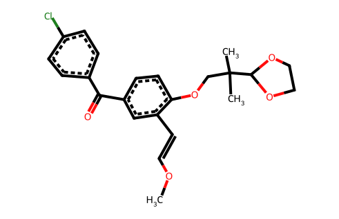 COC=Cc1cc(C(=O)c2ccc(Cl)cc2)ccc1OCC(C)(C)C1OCCO1